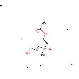 CC(C)C(=O)OCCC(C)(O)C=CCO